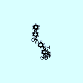 O=C(COC1CCC(Nc2ccc([N+](=O)[O-])c(C(F)(F)F)n2)CC1)N1CCN(c2ccccc2)CC1